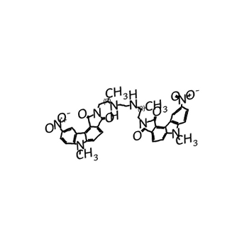 C[C@H](CN1C(=O)c2ccc3c(c2C1=O)c1cc([N+](=O)[O-])ccc1n3C)NCCN[C@H](C)CN1C(=O)c2ccc3c(c2C1=O)c1cc([N+](=O)[O-])ccc1n3C